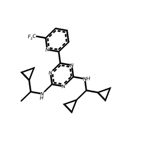 CC(Nc1nc(NC(C2CC2)C2CC2)nc(-c2cccc(C(F)(F)F)n2)n1)C1CC1